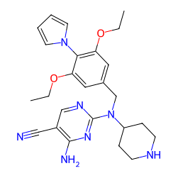 CCOc1cc(CN(c2ncc(C#N)c(N)n2)C2CCNCC2)cc(OCC)c1-n1cccc1